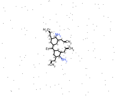 C=CCC1CC(C(CC)C2CC(CC=C)C(N)C(CC=C)C2)CC(CC=C)C1N